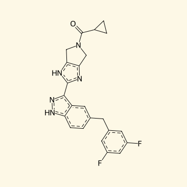 O=C(C1CC1)N1Cc2nc(-c3n[nH]c4ccc(Cc5cc(F)cc(F)c5)cc34)[nH]c2C1